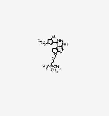 CCC1CC(N=[N+]=[N-])CC1C(=N)n1c2c(ncc1=N)N(COCC[Si](C)(C)C)CC2